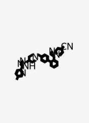 Cc1ccc(-c2nnc(C3CCN(Cc4ccc(-c5ccccc5-c5cnc6cc(C#N)ccn56)cc4)CC3)[nH]2)nc1